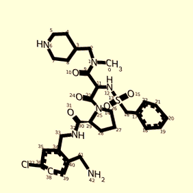 CN(CC1CCNCC1)C(=O)C(NS(=O)(=O)Cc1ccccc1)C(=O)N1CCC[C@H]1C(=O)NCc1cc(Cl)ccc1CN